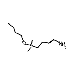 CCCCO[Si](C)(C)CCCCN